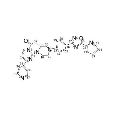 C/C=C(\N=C(/N(C)C=O)N1CCN(c2ccc(-c3noc(-c4ccccn4)n3)cc2)C[C@H]1C)c1ccncc1